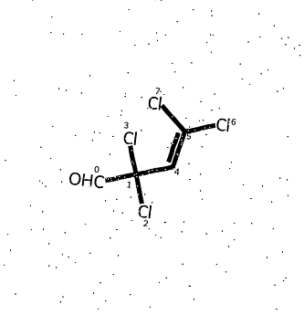 O=CC(Cl)(Cl)C=C(Cl)Cl